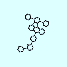 c1ccc(-c2cccc(-c3ccc(-c4c5ccccc5c5c6c(cccc46)-c4c(-c6ccccc6)ccc(-c6ccccc6)c4-5)cc3)n2)cc1